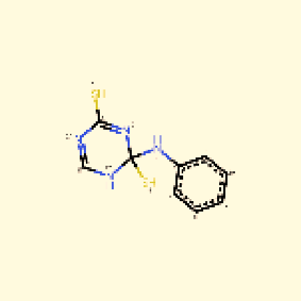 SC1=NC(S)(Nc2ccccc2)NC=N1